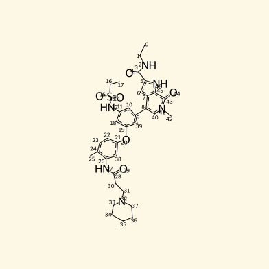 CCNC(=O)c1cc2c(-c3cc(NS(=O)(=O)CC)cc(Oc4ccc(C)c(NC(=O)CCN5CCCCC5)c4)c3)cn(C)c(=O)c2[nH]1